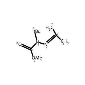 COC(=O)N(N=C(C)C)C(C)(C)C